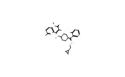 CN(c1c(C#N)c(=O)n(C)c2ccc(Cl)nc12)C1CCC(/C(=N\OCC2CC2)c2ccccc2O)CC1